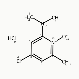 Cc1cc(Cl)cc(N(C)C)[n+]1[O-].Cl